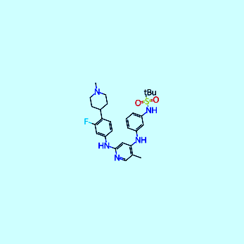 Cc1cnc(Nc2ccc(C3CCN(C)CC3)c(F)c2)cc1Nc1cccc(NS(=O)(=O)C(C)(C)C)c1